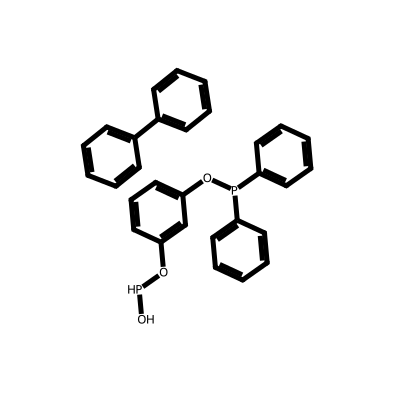 OPOc1cccc(OP(c2ccccc2)c2ccccc2)c1.c1ccc(-c2ccccc2)cc1